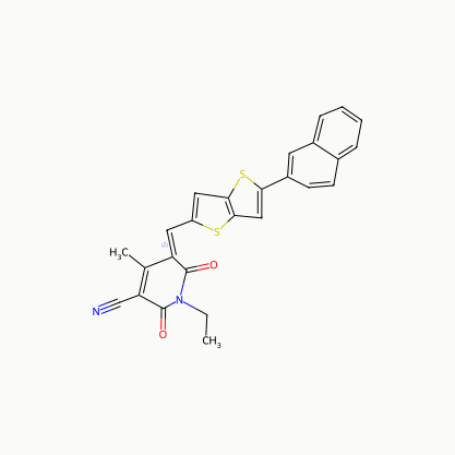 CCN1C(=O)C(C#N)=C(C)/C(=C/c2cc3sc(-c4ccc5ccccc5c4)cc3s2)C1=O